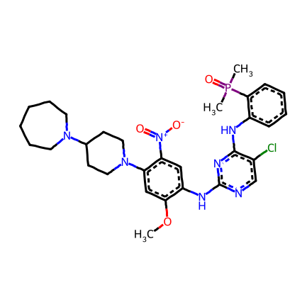 COc1cc(N2CCC(N3CCCCCC3)CC2)c([N+](=O)[O-])cc1Nc1ncc(Cl)c(Nc2ccccc2P(C)(C)=O)n1